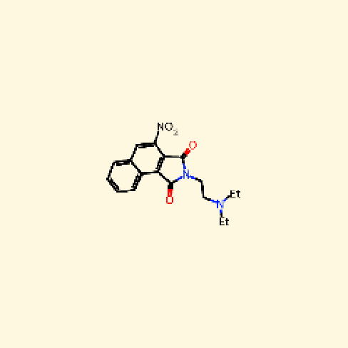 CCN(CC)CCN1C(=O)c2c([N+](=O)[O-])cc3ccccc3c2C1=O